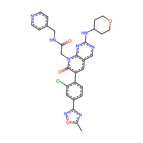 Cc1nc(-c2ccc(-c3cc4cnc(NC5CCOCC5)nc4n(CC(=O)NCc4ccncc4)c3=O)c(Cl)c2)no1